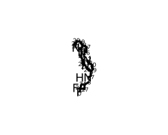 FC1(F)CC(CNCc2ccc3nc(Cn4ccc5cccnc54)cn3c2)C1